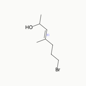 C/C(=C\C(C)O)CCCBr